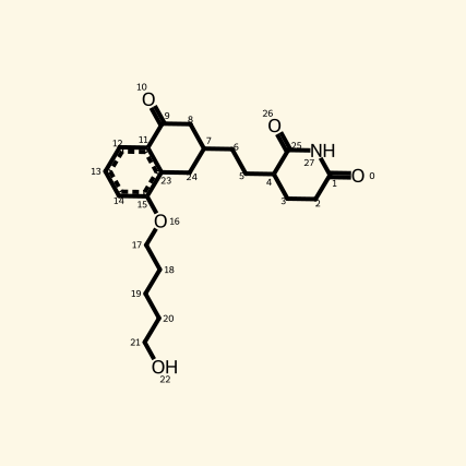 O=C1CCC(CCC2CC(=O)c3cccc(OCCCCCO)c3C2)C(=O)N1